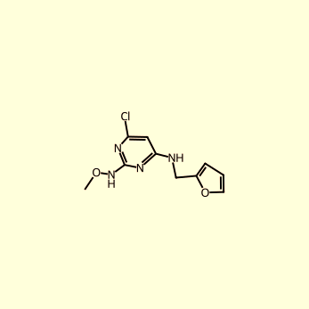 CONc1nc(Cl)cc(NCc2ccco2)n1